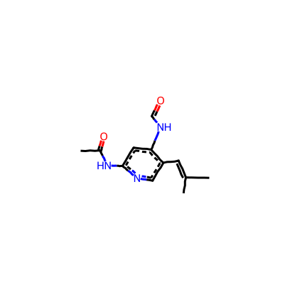 CC(=O)Nc1cc(NC=O)c(C=C(C)C)cn1